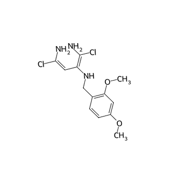 COc1ccc(CNC(/C=C(\N)Cl)=C(/N)Cl)c(OC)c1